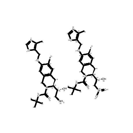 Cc1ncoc1COc1cc2c(cc1F)C[C@@H]([C@H](O)CN)N(C(=O)OC(C)(C)C)C2.Cc1ncoc1COc1cc2c(cc1F)C[C@@H]([C@H](O)C[N+](=O)[O-])N(C(=O)OC(C)(C)C)C2